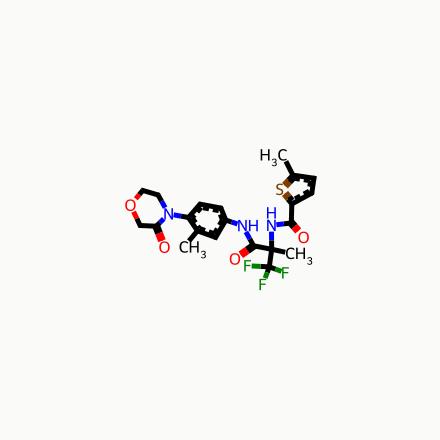 Cc1ccc(C(=O)NC(C)(C(=O)Nc2ccc(N3CCOCC3=O)c(C)c2)C(F)(F)F)s1